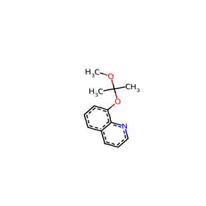 COC(C)(C)Oc1cccc2cccnc12